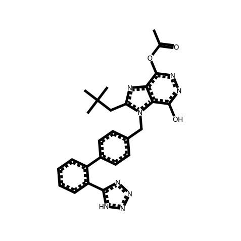 CC(=O)Oc1nnc(O)c2c1nc(CC(C)(C)C)n2Cc1ccc(-c2ccccc2-c2nnn[nH]2)cc1